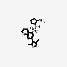 Cc1noc(C)c1-c1cc(S(=O)(=O)N[C@@H]2CCCC2N)c2cccnc2c1